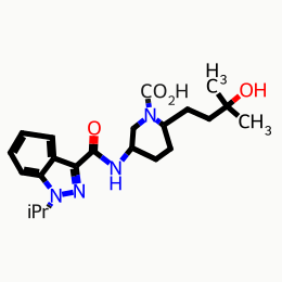 CC(C)n1nc(C(=O)NC2CCC(CCC(C)(C)O)N(C(=O)O)C2)c2ccccc21